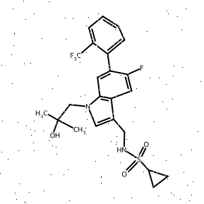 CC(C)(O)Cn1cc(CNS(=O)(=O)C2CC2)c2cc(F)c(-c3ccccc3C(F)(F)F)cc21